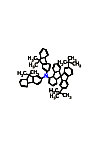 CC(C)(C)c1ccc2c(c1)C1(c3cc(C(C)(C)C)ccc3-2)C2C=CC=CC2C2C(N(c3ccc4c(c3)C(C)(C)C3C=CC=CC43)c3ccc4c(c3)C(C)(C)C3C=CC=CC43)=CC=CC21